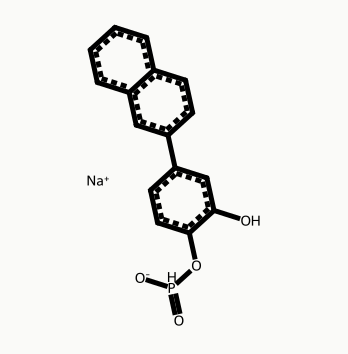 O=[PH]([O-])Oc1ccc(-c2ccc3ccccc3c2)cc1O.[Na+]